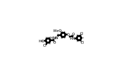 COc1cc(OCC(=O)Nc2cc(Cl)cc(Cl)c2)ccc1C=NNC(=O)c1ccc(O)c(Cl)c1